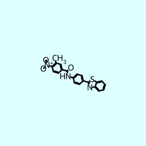 Cc1cc(C(=O)Nc2ccc(-c3nc4ccccc4s3)cc2)ccc1[N+](=O)[O-]